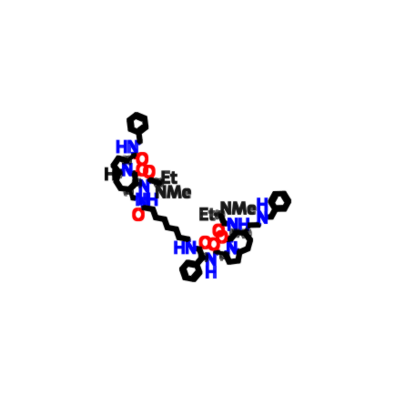 CC[C@H](NC)C(=O)N[C@@H]1C(=O)N2C(CC[C@@H]1CCNCc1ccccc1)CC[C@H]2C(=O)N[C@H](C(=O)NCCCCCCCC(=O)NC[C@H]1CC[C@H]2CC[C@@H](C(=O)NCc3ccccc3)N2C(=O)[C@H]1NC(=O)[C@H](CC)NC)c1ccccc1